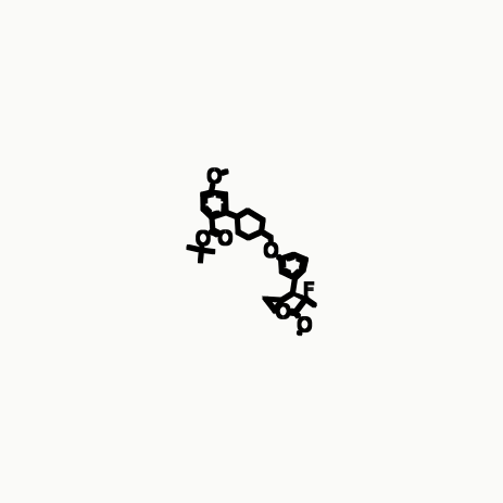 COC(=O)C(C)(F)[C@H](c1cccc(OCC2CCC(c3cc(OC)ccc3C(=O)OC(C)(C)C)CC2)c1)C1CC1